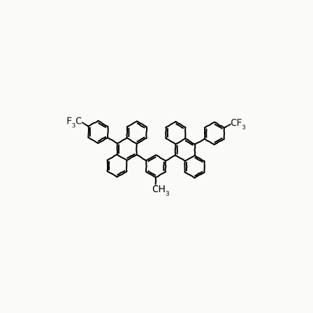 Cc1cc(-c2c3ccccc3c(-c3ccc(C(F)(F)F)cc3)c3ccccc23)cc(-c2c3ccccc3c(-c3ccc(C(F)(F)F)cc3)c3ccccc23)c1